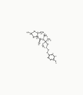 CC(C)(SCCCc1ccc(F)cc1)[C@H](N)C(=O)N1CC(F)C[C@H]1C#N